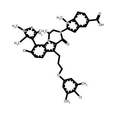 Cc1cc(OCCCc2c3n(c4c(-c5c(C)nn(C)c5C)c(Cl)ccc24)C(C)CN(c2cc4cc(C(=O)O)ccc4n2C)C3=O)cc(C)c1Cl